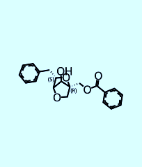 O=C(OC[C@]12COC(C1O)[C@H](Cc1ccccc1)O2)c1ccccc1